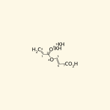 C=CC(=O)OC=CC(=O)O.[KH].[KH]